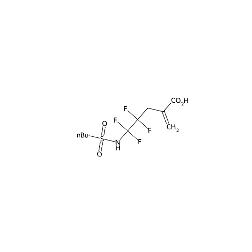 C=C(CC(F)(F)C(F)(F)NS(=O)(=O)CCCC)C(=O)O